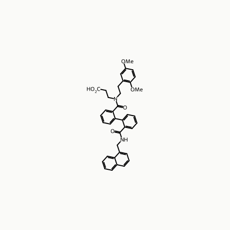 COc1ccc(OC)c(CCN(CCC(=O)O)C(=O)c2ccccc2-c2ccccc2C(=O)NCc2cccc3ccccc23)c1